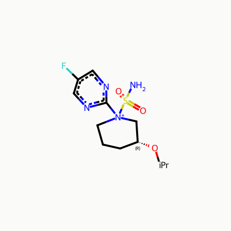 CC(C)O[C@@H]1CCC[N+](c2ncc(F)cn2)(S(N)(=O)=O)C1